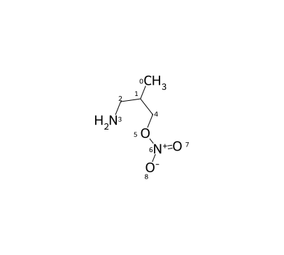 CC(CN)CO[N+](=O)[O-]